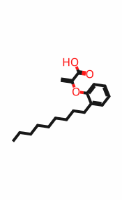 C=C(Oc1ccccc1CCCCCCCCC)C(=O)O